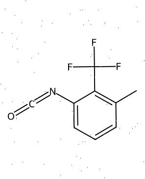 Cc1cccc(N=C=O)c1C(F)(F)F